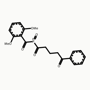 COc1cccc(OC)c1C(=O)[PH](=O)C(=O)CCCC(=O)c1ccccc1